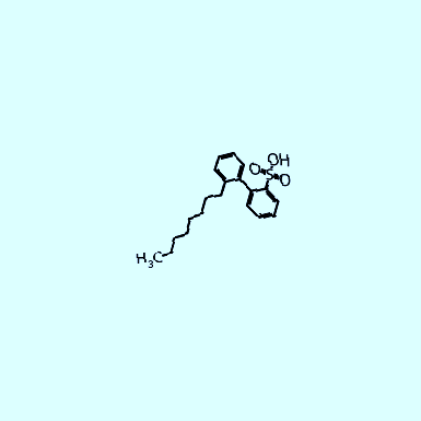 CCCCCCCCc1ccccc1-c1ccccc1S(=O)(=O)O